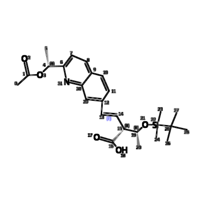 CC(=O)O[C@H](C)c1ccc2ccc(/C=C/[C@@H](C(=O)O)[C@@H](C)O[Si](C)(C)C(C)(C)C)cc2n1